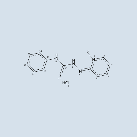 Cl.Cn1ccccc1=NNC(=S)Nc1ccccc1